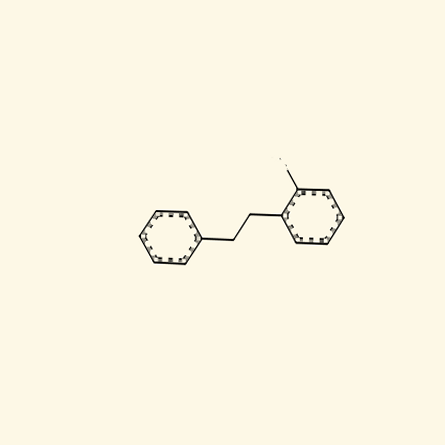 O=Nc1ccccc1CCc1ccccc1